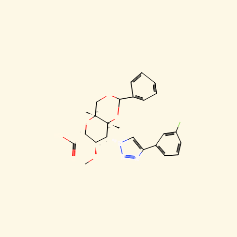 CO[C@@H]1[C@@H](n2cc(-c3cccc(F)c3)nn2)[C@H]2OC(c3ccccc3)OC[C@H]2O[C@H]1C(=O)O